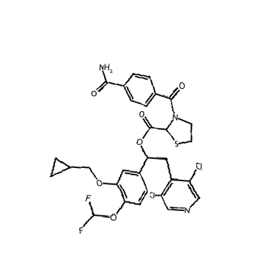 NC(=O)c1ccc(C(=O)N2CCSC2C(=O)OC(Cc2c(Cl)cncc2Cl)c2ccc(OC(F)F)c(OCC3CC3)c2)cc1